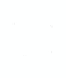 OC1CCOC1.OCc1ccncc1